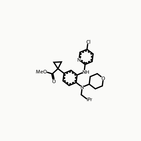 COC(=O)C1(c2ccc(N(CC(C)C)C3CCOCC3)c(Nc3ccc(Cl)cn3)c2)CC1